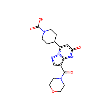 O=C(O)N1CCC(c2cc(=O)[nH]c3c(C(=O)N4CCOCC4)cnn23)CC1